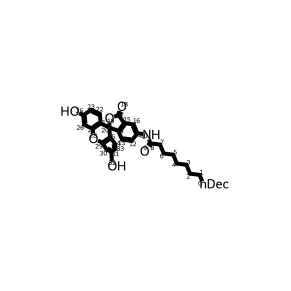 CCCCCCCCCCCCCCCCCC(=O)Nc1ccc2c(c1)C(=O)OC21c2ccc(O)cc2Oc2cc(O)ccc21